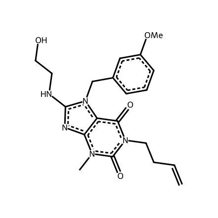 C=CCCn1c(=O)c2c(nc(NCCO)n2Cc2cccc(OC)c2)n(C)c1=O